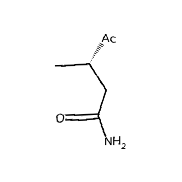 CC(=O)[C@@H](C)CC(N)=O